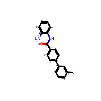 Cc1cccc(-c2ccc(C(=O)Nc3ccccc3N)cc2)c1